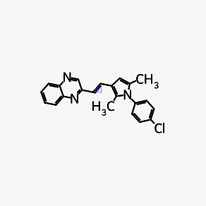 Cc1cc(/C=C/c2cnc3ccccc3n2)c(C)n1-c1ccc(Cl)cc1